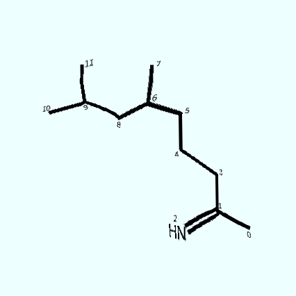 CC(=N)CCCC(C)CC(C)C